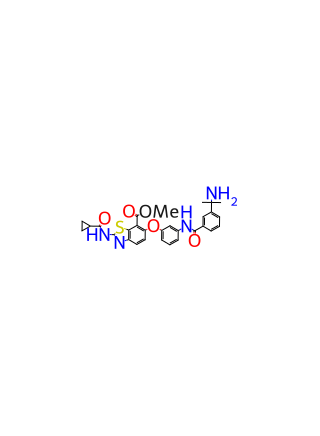 COC(=O)c1c(Oc2cccc(NC(=O)c3cccc(C(C)(C)N)c3)c2)ccc2nc(NC(=O)C3CC3)sc12